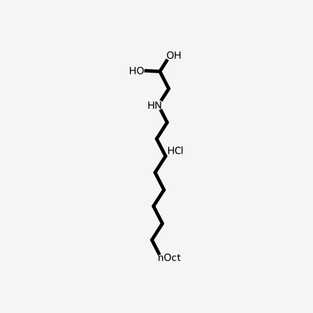 CCCCCCCCCCCCCCCCNCC(O)O.Cl